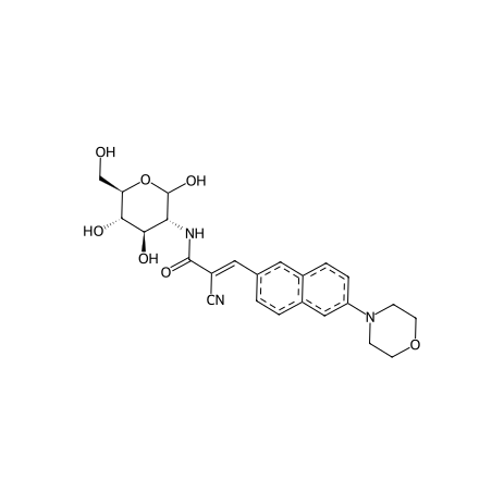 N#C/C(=C\c1ccc2cc(N3CCOCC3)ccc2c1)C(=O)N[C@H]1C(O)O[C@H](CO)[C@@H](O)[C@@H]1O